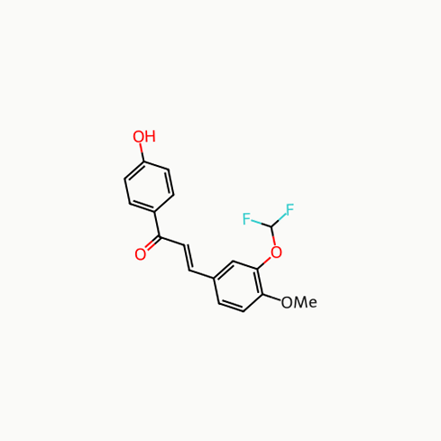 COc1ccc(/C=C/C(=O)c2ccc(O)cc2)cc1OC(F)F